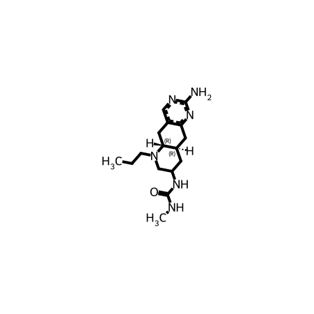 CCCN1CC(NC(=O)NC)C[C@@H]2Cc3nc(N)ncc3C[C@H]21